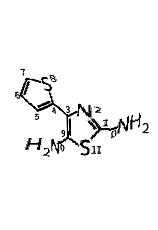 Nc1nc(-c2cccs2)c(N)s1